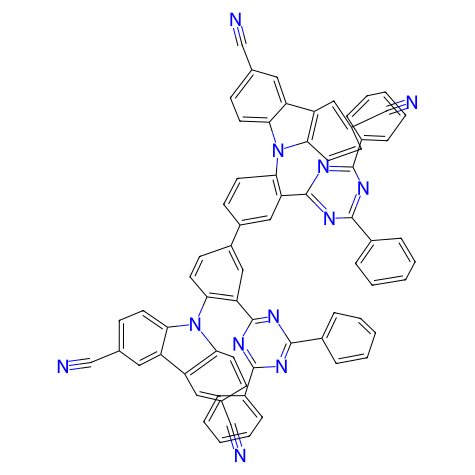 N#Cc1ccc2c(c1)c1cc(C#N)ccc1n2-c1ccc(-c2ccc(-n3c4ccc(C#N)cc4c4cc(C#N)ccc43)c(-c3nc(-c4ccccc4)nc(-c4ccccc4)n3)c2)cc1-c1nc(-c2ccccc2)nc(-c2ccccc2)n1